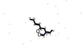 C/C=C(/[C]=O)CC(=O)C=CCC